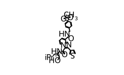 CC(C)C[C@H](CO)NC(=O)c1c(-c2ccsc2)nc2c(C(=O)NCc3ccc(S(C)(=O)=O)cc3)cccn12